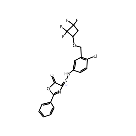 O=C1OC(c2ccccc2)=N/C1=N/Nc1ccc(Cl)c(COC2CC(F)(F)C2(F)F)c1